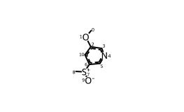 COc1cncc([S+](C)[O-])c1